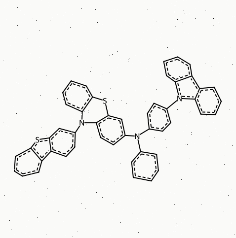 c1ccc(N(c2ccc(-n3c4ccccc4c4ccccc43)cc2)c2ccc3c(c2)Sc2ccccc2N3c2ccc3c(c2)sc2ccccc23)cc1